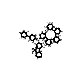 CC1(C)c2ccccc2-c2ccc(N(c3ccc(-c4ccccc4)cc3)c3ccc4c(c3)-c3ccccc3-c3ccccc3-c3ccccc3-c3ccccc3S4)cc21